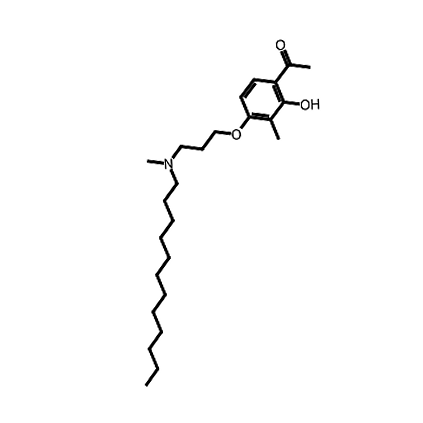 CCCCCCCCCCCCN(C)CCCOc1ccc(C(C)=O)c(O)c1C